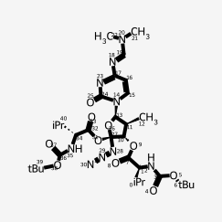 CC(C)[C@H](NC(=O)OC(C)(C)C)C(=O)O[C@H]1[C@H](C)[C@H](n2ccc(/N=C/N(C)C)nc2=O)O[C@]1(N=[N+]=[N-])OC(=O)[C@H](NC(=O)OC(C)(C)C)C(C)C